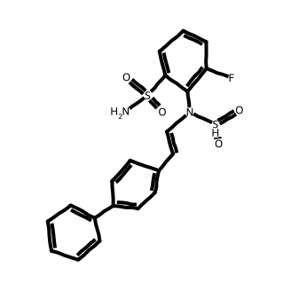 NS(=O)(=O)c1cccc(F)c1N(C=Cc1ccc(-c2ccccc2)cc1)[SH](=O)=O